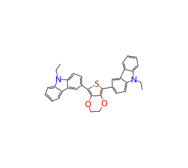 CCn1c2ccccc2c2cc(-c3sc(-c4ccc5c(c4)c4ccccc4n5CC)c4c3OCCO4)ccc21